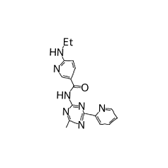 CCNc1ccc(C(=O)Nc2nc(C)nc(-c3ccccn3)n2)cn1